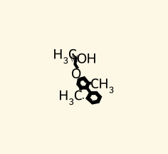 Cc1cc(OCC[C@@H](C)O)cc(C)c1-c1[c]cccc1